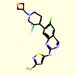 Cc1cc(Nc2ncc3cc(Cl)c(C4CCN(C5COC5)C[C@@H]4F)cc3n2)sn1